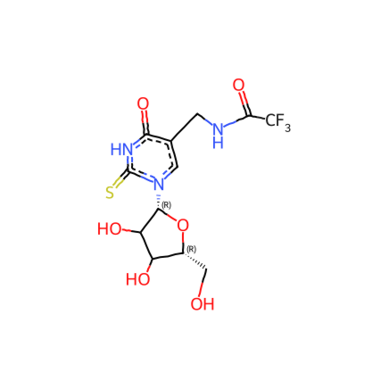 O=C(NCc1cn([C@@H]2O[C@H](CO)C(O)C2O)c(=S)[nH]c1=O)C(F)(F)F